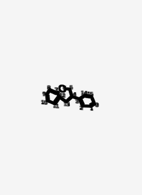 c1ccc(C2COc3ccccc3C2)cc1